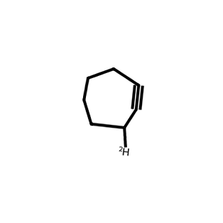 [2H]C1C#CCCCC1